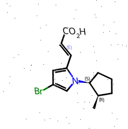 C[C@@H]1CCC[C@@H]1n1cc(Br)cc1/C=C/C(=O)O